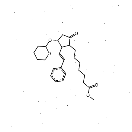 COC(=O)CCCCCCC1C(=O)C[C@@H](OC2CCCCO2)C1/C=C/c1ccccc1